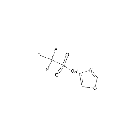 O=S(=O)(O)C(F)(F)F.c1cocn1